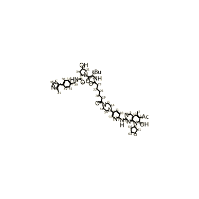 CC(=O)C1=C(C)c2cnc(Nc3ccc(N4CCN(C(=O)CCCCCC(=O)N[C@H](C(=O)N5C[C@H](O)C[C@H]5C(=O)NCc5ccc(-c6scnc6C)cc5)C(C)(C)C)CC4)cn3)nc2N(C2CCCC2)C1O